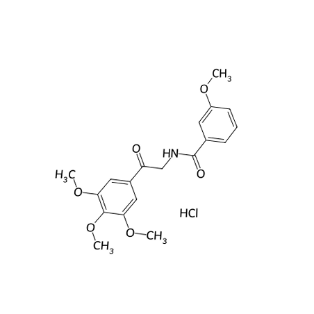 COc1cccc(C(=O)NCC(=O)c2cc(OC)c(OC)c(OC)c2)c1.Cl